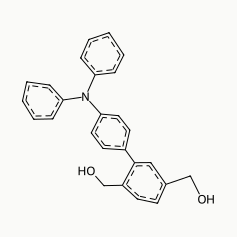 OCc1ccc(CO)c(-c2ccc(N(c3ccccc3)c3ccccc3)cc2)c1